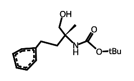 CC(C)(C)OC(=O)N[C@@](C)(CO)CCc1ccccc1